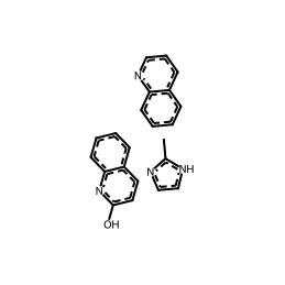 Cc1ncc[nH]1.Oc1ccc2ccccc2n1.c1ccc2ncccc2c1